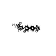 CS(=O)(=O)C(CCn1ccc(-c2ccc(-n3ncc[n+]3[O-])cc2)cc1=O)C(N)=O